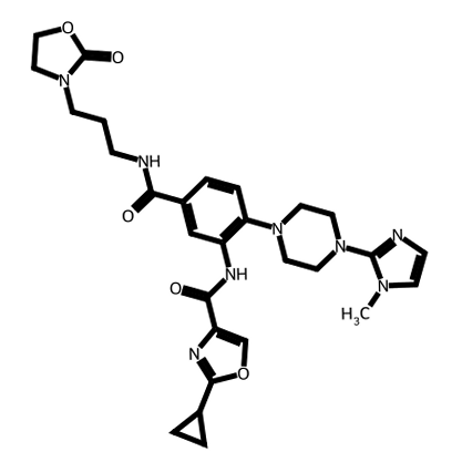 Cn1ccnc1N1CCN(c2ccc(C(=O)NCCCN3CCOC3=O)cc2NC(=O)c2coc(C3CC3)n2)CC1